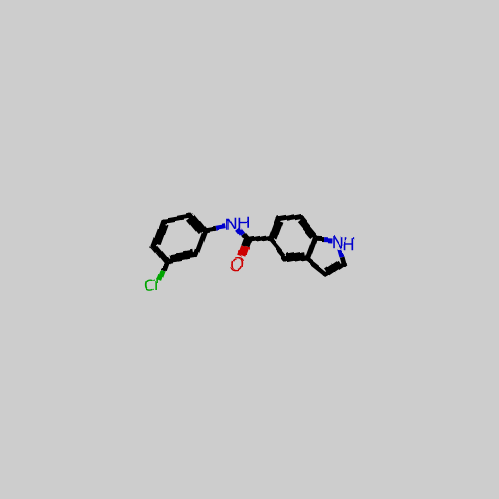 O=C(Nc1cccc(Cl)c1)c1ccc2[nH]ccc2c1